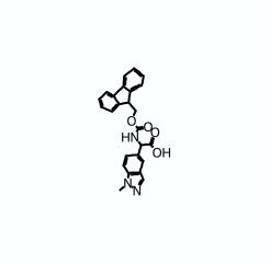 Cn1ncc2cc(C(NC(=O)OCC3c4ccccc4-c4ccccc43)C(=O)O)ccc21